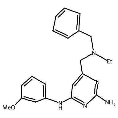 CCN(Cc1ccccc1)Cc1cc(Nc2cccc(OC)c2)nc(N)n1